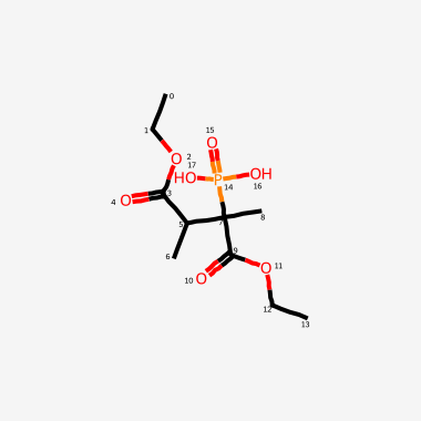 CCOC(=O)C(C)C(C)(C(=O)OCC)P(=O)(O)O